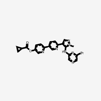 CC(C)c1cncc(Nc2c(-c3ccc(-c4ccc(OC(=O)C5CC5)cn4)cn3)cnn2C)n1